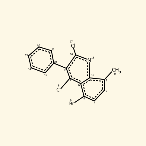 Cc1ccc(Br)c2c(Cl)c(-c3ccccc3)c(Cl)nc12